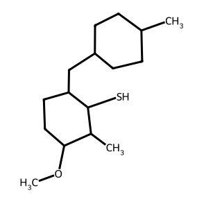 COC1CCC(CC2CCC(C)CC2)C(S)C1C